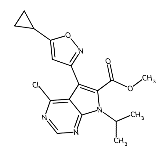 COC(=O)c1c(-c2cc(C3CC3)on2)c2c(Cl)ncnc2n1C(C)C